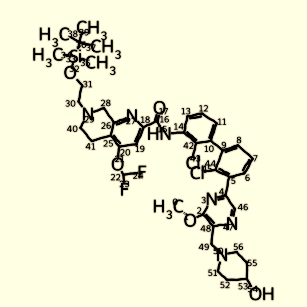 COc1nc(-c2cccc(-c3cccc(NC(=O)c4cc(OC(F)F)c5c(n4)CN(CCO[Si](C)(C)C(C)(C)C)CC5)c3Cl)c2Cl)cnc1CN1CCC(O)CC1